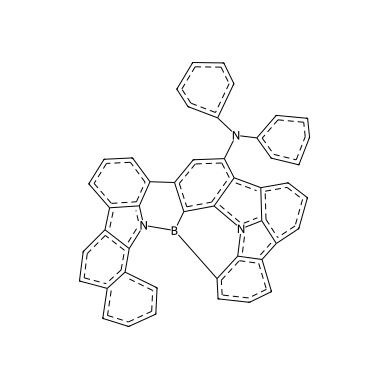 c1ccc(N(c2ccccc2)c2cc3c4c5c2c2cccc6c7cccc(c7n5c62)B4n2c4c-3cccc4c3ccc4ccccc4c32)cc1